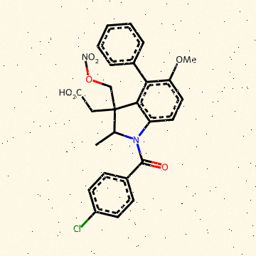 COc1ccc2c(c1-c1ccccc1)C(CO[N+](=O)[O-])(CC(=O)O)C(C)N2C(=O)c1ccc(Cl)cc1